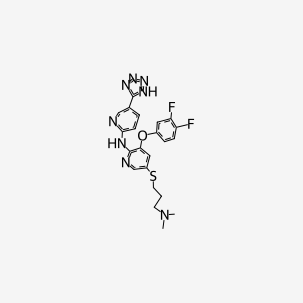 CN(C)CCCSc1cnc(Nc2ccc(-c3nnn[nH]3)cn2)c(Oc2ccc(F)c(F)c2)c1